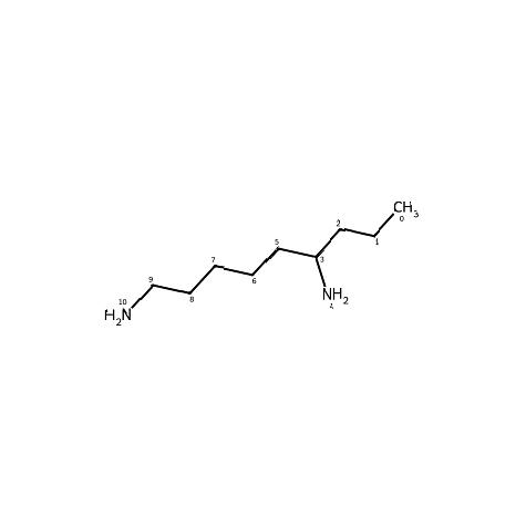 CCCC(N)CCCCCN